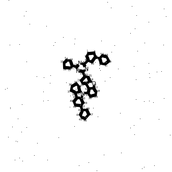 c1ccc(-c2cccc(-c3nc(-c4ccccc4)nc(-c4ccc5c(c4)oc4cccc(-n6c7ccccc7c7ccc(-c8ccccc8)cc76)c45)n3)c2)cc1